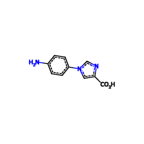 Nc1ccc(-n2cnc(C(=O)O)c2)cc1